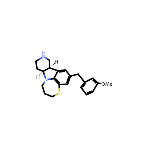 COc1cccc(Cc2cc3c4c(c2)[C@@H]2CNCC[C@@H]2N4CCCS3)c1